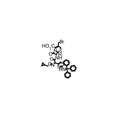 O=C(O)C1=C(CBr)CS[C@@H]2[C@H](NC(=O)/C(=N\OCC3CC3)c3csc(NC(c4ccccc4)(c4ccccc4)c4ccccc4)n3)C(=O)N12